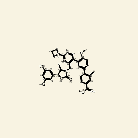 COc1ccc(-c2ccc(C(=O)O)cc2C)cc1-c1cnc(N2CCC2)nc1CN1C(=O)O[C@H](c2cc(Cl)cc(Cl)c2)C1C